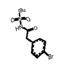 CC(C)(C)S(=O)(=O)NC(=O)Cc1ccc(Br)cc1